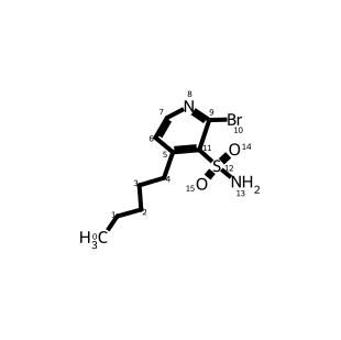 CCCCCc1ccnc(Br)c1S(N)(=O)=O